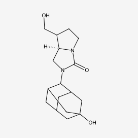 O=C1N(C2C3CC4CC2CC(O)(C4)C3)C[C@H]2C(CO)CCN12